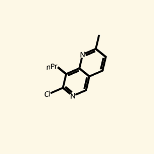 CCCc1c(Cl)ncc2ccc(C)nc12